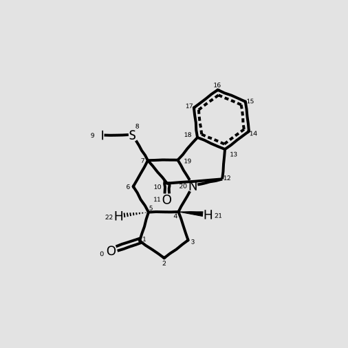 O=C1CC[C@@H]2[C@@H]1CC1(SI)C(=O)C3c4ccccc4C1N32